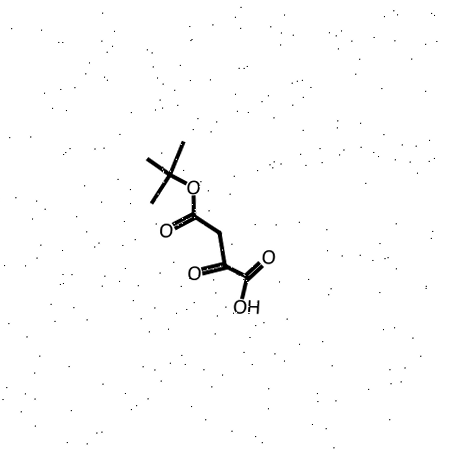 CC(C)(C)OC(=O)CC(=O)C(=O)O